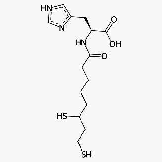 O=C(CCCCC(S)CCS)N[C@@H](Cc1c[nH]cn1)C(=O)O